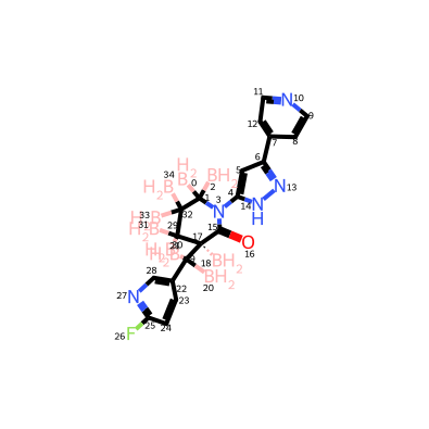 BC1(B)N(c2cc(-c3ccncc3)n[nH]2)C(=O)[C@@](B)(C(B)(B)c2ccc(F)nc2)C(B)(B)C1(B)B